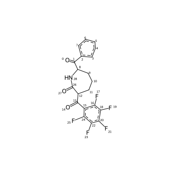 O=C(c1ccccc1)C1CCCC(C(=O)c2c(F)c(F)c(F)c(F)c2F)C(=O)N1